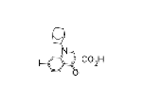 O=C(O)c1cn(C2CC3CCC2C3)c2cc(I)ccc2c1=O